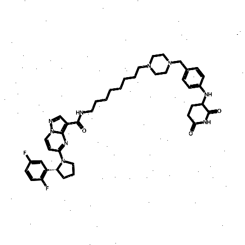 O=C1CCC(Nc2ccc(CN3CCN(CCCCCCCCNC(=O)c4cnn5ccc(N6CCC[C@@H]6c6cc(F)ccc6F)nc45)CC3)cc2)C(=O)N1